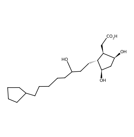 O=C(O)C[C@@H]1[C@@H](CCC(O)CCCCCC2CCCC2)[C@H](O)C[C@@H]1O